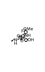 C#CCNCCN1C(=O)N2[C@H](c3cccc(O)c3)c3[nH]c4ccc(OC)c(F)c4c3C[C@@]2(C)C1=O